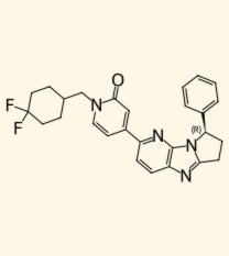 O=c1cc(-c2ccc3nc4n(c3n2)[C@@H](c2ccccc2)CC4)ccn1CC1CCC(F)(F)CC1